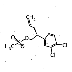 C=CC[C@H](COS(C)(=O)=O)c1ccc(Cl)c(Cl)c1